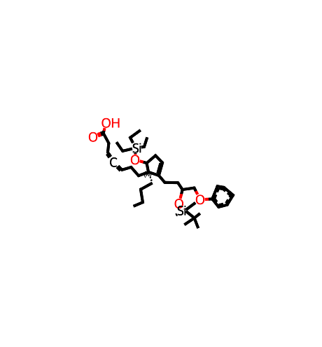 CCCC[C@@]1(CCC=C=CCC(=O)O)C(CCC(COc2ccccc2)O[Si](C)(C)C(C)(C)C)=CCC1O[Si](CC)(CC)CC